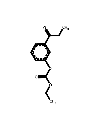 CCOC(=O)Oc1cccc(C(=O)CC)c1